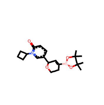 CC1(C)OB(C2=CC(c3ccc(=O)n(C4CCC4)c3)OCC2)OC1(C)C